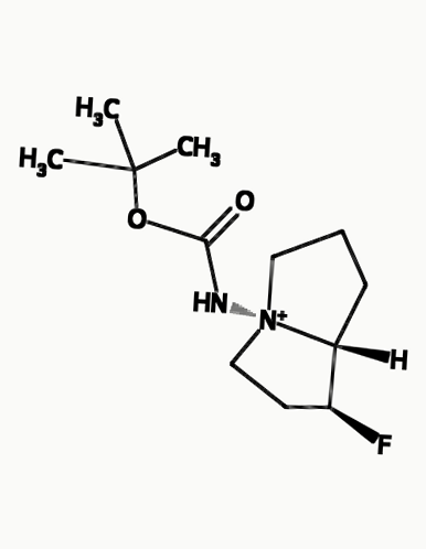 CC(C)(C)OC(=O)N[N@+]12CCC[C@@H]1[C@@H](F)CC2